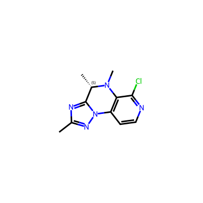 Cc1nc2n(n1)-c1ccnc(Cl)c1N(C)[C@H]2C